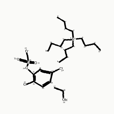 CCCC[N+](CCCC)(CCCC)CCCC.CCO.O=S(=O)([O-])Oc1cc(Cl)ccc1Cl